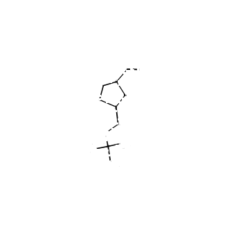 [CH2]CC1C[CH]C(COC(C)(C)C)C1